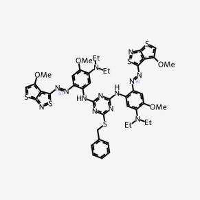 CCN(CC)c1cc(Nc2nc(Nc3cc(N(CC)CC)c(OC)cc3/N=N/c3snc4scc(OC)c34)nc(SCc3ccccc3)n2)c(/N=N/c2snc3scc(OC)c23)cc1OC